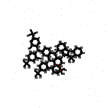 Cc1cc(C(C)(C)C)ccc1N(c1ccc2c(c1)N(c1ccc(C(C)(C)C)cc1-c1ccccc1)c1cc(C(C)(C)C)cc3c1B2c1cccc2c4c(n-3c12)C(C)(C)c1ccccc1-4)c1ccc(C(C)(C)C)cc1C